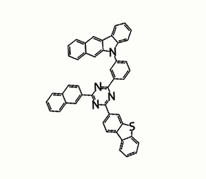 c1cc(-c2nc(-c3ccc4ccccc4c3)nc(-c3ccc4c(c3)sc3ccccc34)n2)cc(-n2c3ccccc3c3cc4ccccc4cc32)c1